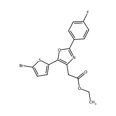 CCOC(=O)Cc1nc(-c2ccc(F)cc2)oc1-c1ccc(Br)s1